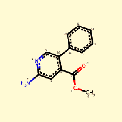 COC(=O)c1cc(N)ncc1-c1ccccc1